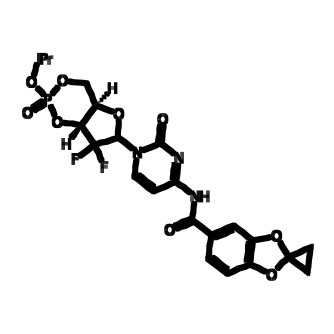 CC(C)OP1(=O)OC[C@H]2OC(n3ccc(NC(=O)c4ccc5c(c4)OC4(CC4)O5)nc3=O)C(F)(F)[C@@H]2O1